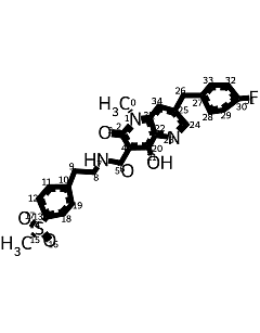 Cn1c(=O)c(C(=O)NCCc2ccc(S(C)(=O)=O)cc2)c(O)c2ncc(Cc3ccc(F)cc3)cc21